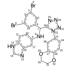 Brc1cc(Br)cc(C(Nc2ccc3[nH]cnc3c2)c2nnnn2-c2ccc3c(c2)OCCO3)c1